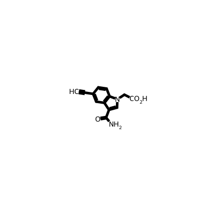 C#Cc1ccc2c(c1)c(C(N)=O)cn2CC(=O)O